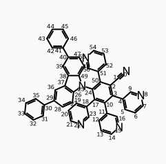 N#Cc1c(-c2cccnc2)c(-c2cccnc2)c(-c2cccnc2)c(-n2c3ccc(-c4ccccc4)cc3c3cc(-c4ccccc4)ccc32)c1-c1cccnc1